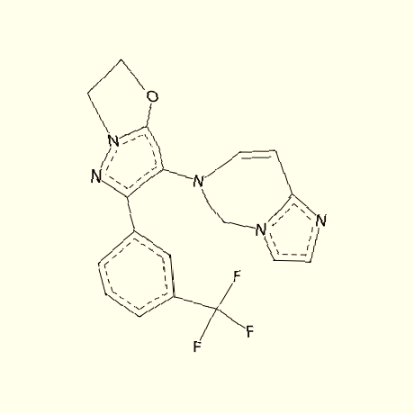 FC(F)(F)c1cccc(-c2nn3c(c2N2C=Cc4nccn4C2)OCC3)c1